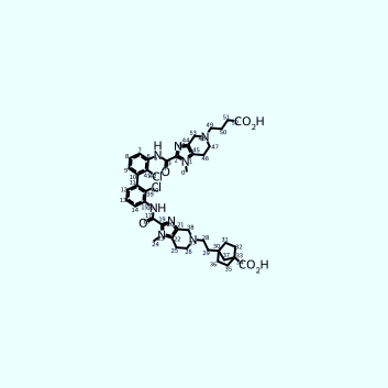 Cn1c(C(=O)Nc2cccc(-c3cccc(NC(=O)c4nc5c(n4C)CCN(CCC46CCC(C(=O)O)(CC4)C6)C5)c3Cl)c2Cl)nc2c1CCN(CCCC(=O)O)C2